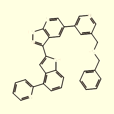 c1ccc(CNCc2cncc(-c3cnc4[nH]nc(-c5cc6c(-c7ccccn7)cccc6[nH]5)c4c3)c2)cc1